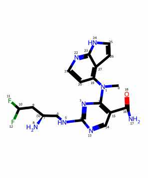 CN(c1nc(NC[C@@H](N)CC(F)F)ncc1C(N)=O)c1ccnc2[nH]ccc12